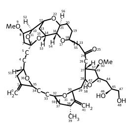 C=C1C[C@@H]2CC[C@]34C[C@@H](OC)[C@H](O3)C3C[C@@H](O4)[C@H]4O[C@H](CC[C@@H]4O3)CC(=O)C[C@H]3[C@H](CC4O[C@@H](CCC1O2)C[C@@H](C)C4=C)OC(C[C@H](O)CO)[C@@H]3OC